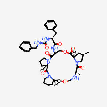 C[C@@H]1C[C@H]2C(=O)OC[C@H](NC(=O)[C@H](Cc3ccccc3)NC(=O)NCc3ccccc3)C(=O)N3CCC[C@H]3C(=O)N3CCCC[C@H]3COCN[C@@H](C)C(=O)N2C1